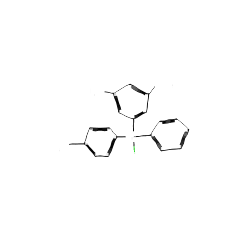 Cc1ccc([Si](Cl)(c2ccccc2)c2cc(C)cc(C)c2)cc1